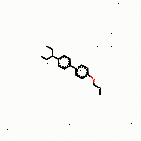 CCCOc1ccc(-c2ccc(C(CC)CC)cc2)cc1